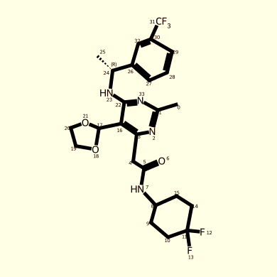 Cc1nc(CC(=O)NC2CCC(F)(F)CC2)c(C2OCCO2)c(N[C@H](C)c2cccc(C(F)(F)F)c2)n1